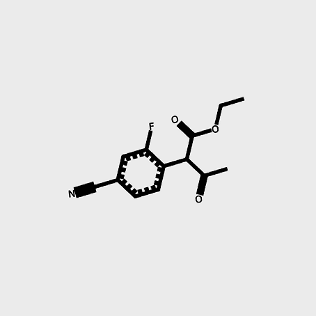 CCOC(=O)C(C(C)=O)c1ccc(C#N)cc1F